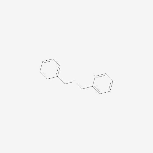 c1ccc(C[AsH]Cc2ccccn2)nc1